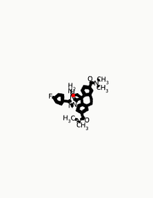 CN(C)C(=O)c1ccc2c(c1)CCc1cc(C(=O)N(C)C)ccc1C2(CCN)c1nnc(-c2ccc(F)cc2)[nH]1